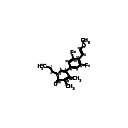 CCCn1cc(-c2cc(F)c(C=COC)c(F)c2)c(C)c(C)c1=O